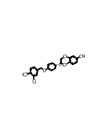 N#Cc1ccc2c(c1)OC[C@@H](c1ccc(OCc3ccc(Cl)c(Cl)c3)cc1)O2